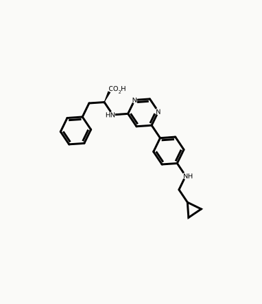 O=C(O)[C@H](Cc1ccccc1)Nc1cc(-c2ccc(NCC3CC3)cc2)ncn1